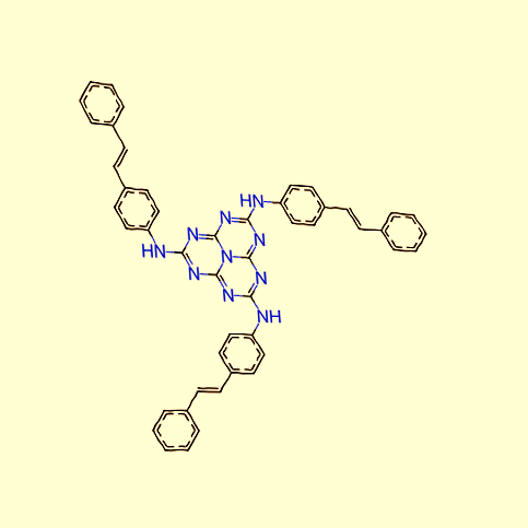 C(=Cc1ccc(NC2=NC3=NC(Nc4ccc(C=Cc5ccccc5)cc4)=NC4=NC(Nc5ccc(C=Cc6ccccc6)cc5)=NC(=N2)N34)cc1)c1ccccc1